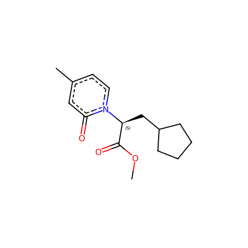 COC(=O)[C@H](CC1CCCC1)n1ccc(C)cc1=O